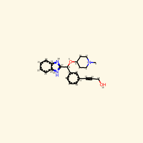 CN1CCC(OC(c2cccc(C#CCO)c2)c2nc3ccccc3[nH]2)CC1